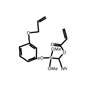 C=CC(=O)OC(CCC)[Si](OC)(OC)OC.C=CCOc1ccccc1